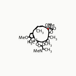 CN[C@@H](C)C(=O)OC1CC(=O)N(C)c2cc(cc(OC)c2Cl)C/C(C)=C/C=C/C(OC)C2(O)CC(OC(=O)N2)C(C)C2OC12C